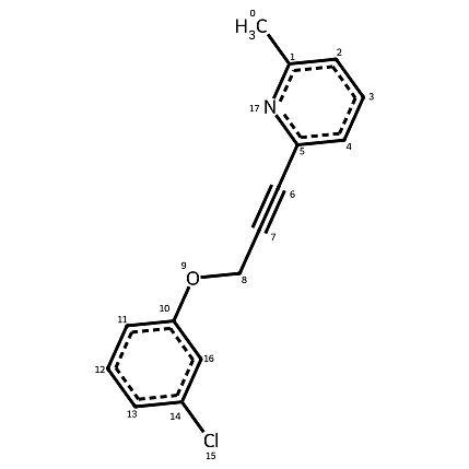 Cc1cccc(C#CCOc2cccc(Cl)c2)n1